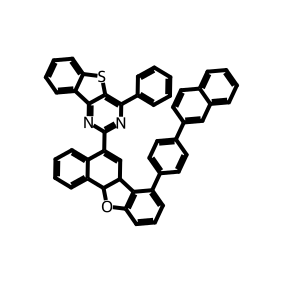 C1=C(c2nc(-c3ccccc3)c3sc4ccccc4c3n2)c2ccccc2C2Oc3cccc(-c4ccc(-c5ccc6ccccc6c5)cc4)c3C12